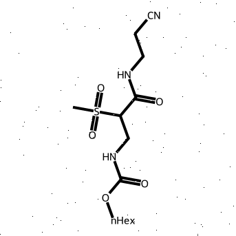 CCCCCCOC(=O)NCC(C(=O)NCCC#N)S(C)(=O)=O